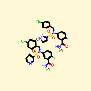 CC(C)NC(=O)c1cc(N(Cc2ccc(Cl)cc2)S(=O)(=O)c2cccnc2)ccc1F.CC(C)NC(=O)c1cc(N(Cc2ccc(Cl)cc2)S(=O)(=O)c2ccn(C)n2)ccc1F